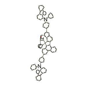 c1ccc(N(c2ccc(-c3ccc4c5c(ccc4c3)-c3c(c4ccc(-c6ccc(N(c7ccccc7)c7cccc8c7oc7ccccc78)cc6)cc4c4ccccc34)C53c4ccccc4-c4ccccc43)cc2)c2cccc3c2oc2ccccc23)cc1